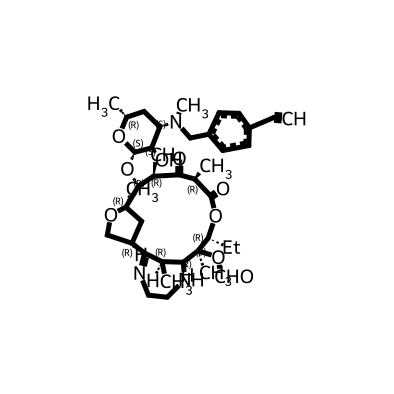 C#Cc1ccc(CN(C)[C@H]2C[C@@H](C)O[C@@H](O[C@@H]3[C@@H](C)C(=O)[C@@H](C)C(=O)O[C@H](CC)[C@@](C)(OC=O)[C@@H]4NCCN=C([C@@H]5CO[C@]3(C)C5)[C@@H]4C)[C@H]2O)cc1